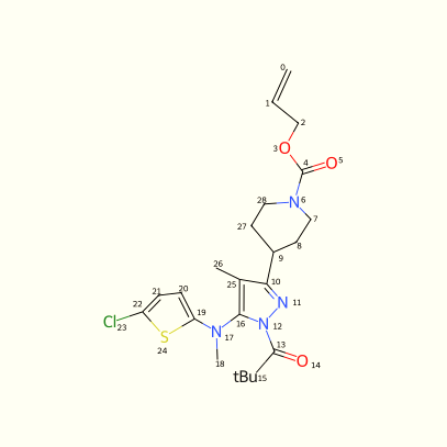 C=CCOC(=O)N1CCC(c2nn(C(=O)C(C)(C)C)c(N(C)c3ccc(Cl)s3)c2C)CC1